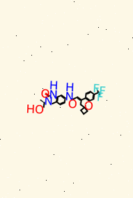 C[C@H](CO)N1Cc2ccc(NC(=O)/C=C3\CC4(CCC4)Oc4cc(C(F)(F)F)ccc43)cc2NC1=O